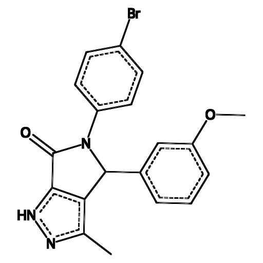 COc1cccc(C2c3c(C)n[nH]c3C(=O)N2c2ccc(Br)cc2)c1